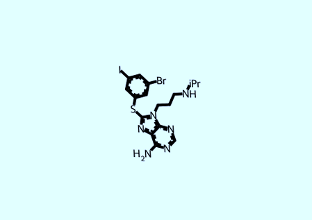 CC(C)NCCCn1c(Sc2cc(Br)cc(I)c2)nc2c(N)ncnc21